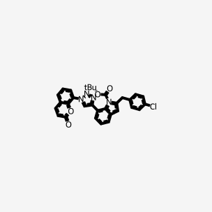 CC(C)(C)OC(=O)n1c(Cc2ccc(Cl)cc2)cc2cccc(-c3cn(-c4cccc5ccc(=O)oc45)nn3)c21